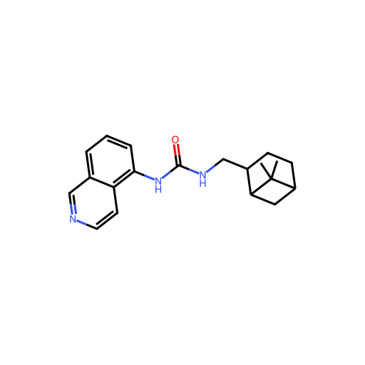 CC1(C)C2CCC(CNC(=O)Nc3cccc4cnccc34)C1C2